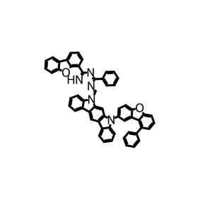 N=C(/N=C(\N=C\n1c2ccccc2c2cc3c4ccccc4n(-c4ccc5oc6cccc(-c7ccccc7)c6c5c4)c3cc21)c1ccccc1)c1cccc2c1oc1ccccc12